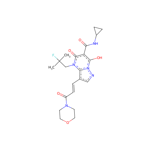 CC(C)(F)Cn1c(=O)c(C(=O)NC2CC2)c(O)n2ncc(C=CC(=O)N3CCOCC3)c12